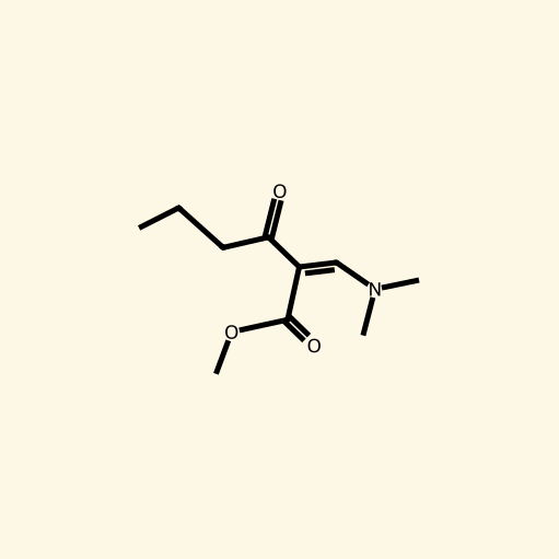 CCCC(=O)/C(=C/N(C)C)C(=O)OC